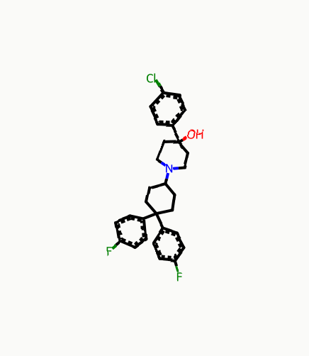 OC1(c2ccc(Cl)cc2)CCN(C2CCC(c3ccc(F)cc3)(c3ccc(F)cc3)CC2)CC1